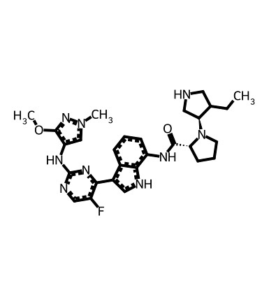 CCC1CNC[C@@H]1N1CCC[C@@H]1C(=O)Nc1cccc2c(-c3nc(Nc4cn(C)nc4OC)ncc3F)c[nH]c12